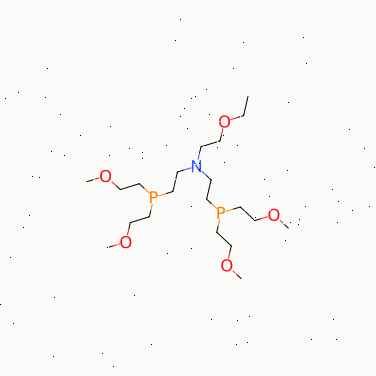 CCOCCN(CCP(CCOC)CCOC)CCP(CCOC)CCOC